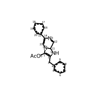 CC(=O)OC1=C(Cc2ccccc2)NC2C=NC(c3ccccc3)=CN12